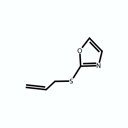 C=CCSc1ncco1